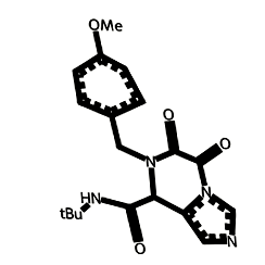 COc1ccc(CN2C(=O)C(=O)n3cncc3C2C(=O)NC(C)(C)C)cc1